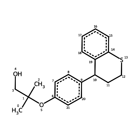 CC(C)(CO)Oc1ccc(C2CCSc3ccccc32)cc1